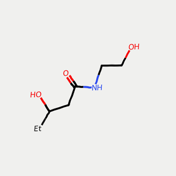 CCC(O)CC(=O)NCCO